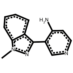 Cn1nc(-c2cnccc2N)c2ccccc21